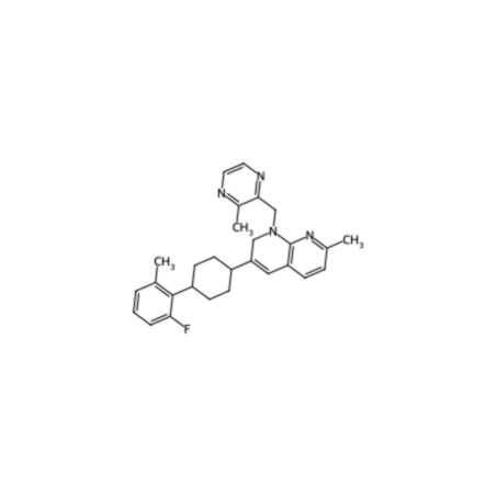 Cc1ccc2c(n1)N(Cc1nccnc1C)CC(C1CCC(c3c(C)cccc3F)CC1)=C2